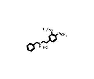 COc1ccc(CCNCc2ccccc2)cc1OC.Cl